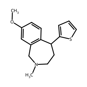 COc1ccc2c(c1)CN(C)CCC2c1cccs1